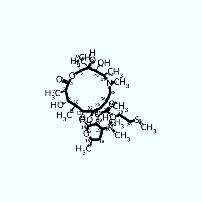 CC[C@H]1OC(=O)[C@H](C)[C@@H](O)[C@H](C)[C@@H](O[C@@H]2O[C@H](C)CC(N(C)C)[C@H]2OC(=O)OCCSC)[C@](C)(O)C[C@@H](C)CN(C)[C@H](C)[C@@H](O)[C@]1(C)O